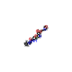 COc1cc2c(Oc3ccc(NC(=O)N4C=CN(c5c(C)cccc5C)C4)cc3F)ccnc2cc1OCCCN1CCOCC1